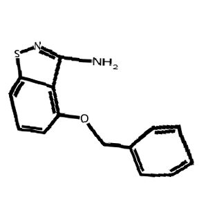 Nc1nsc2cccc(OCc3ccccc3)c12